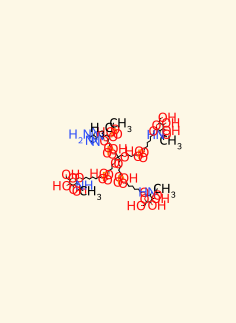 CC(=O)NC1C(OCCCCCCOP(=O)(O)OCCCOCC(COCCCOP(=O)(O)OCCCCCCOC2OC(CO)C(O)C(O)C2NC(C)=O)(COCCCOP(=O)(O)OCCCCCCOC2OC(CO)C(O)C(O)C2NC(C)=O)COP(=O)(O)OC[C@H]2O[C@@H](n3cnc4c(N)ncnc43)C[C@@H]2OP(=O)(O)OC(C)C)OC(CO)C(O)C1O